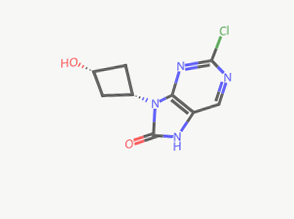 O=c1[nH]c2cnc(Cl)nc2n1[C@H]1C[C@@H](O)C1